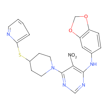 O=[N+]([O-])c1c(Nc2ccc3c(c2)OCO3)ncnc1N1CCC(Sc2ccccn2)CC1